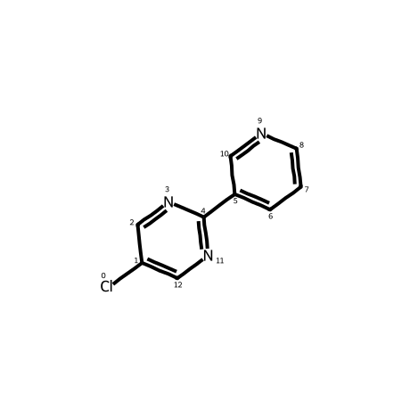 Clc1cnc(-c2cccnc2)nc1